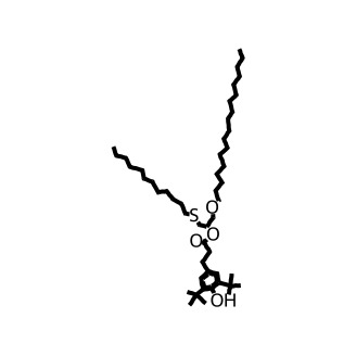 CCCCCCCCCCCCCCCCCCOCC(CSCCCCCCCCCCCC)OC(=O)CCc1cc(C(C)(C)C)c(O)c(C(C)(C)C)c1